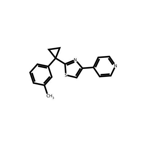 Cc1cccc(C2(c3nc(-c4ccncc4)cs3)CC2)c1